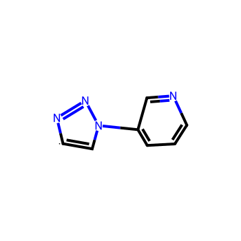 [c]1cn(-c2cccnc2)nn1